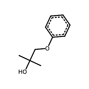 CC(C)(O)COc1ccccc1